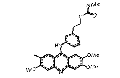 CNC(=O)OCCc1cccc(Nc2c3cc(C)c(OC)cc3nc3cc(OC)c(OC)cc23)c1